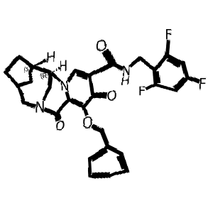 O=C(NCc1c(F)cc(F)cc1F)c1cn2c(c(OCc3ccccc3)c1=O)C(=O)N1CC3CC[C@@H](C3)[C@@H]2C1